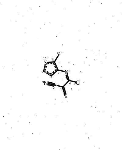 C=C(C#N)/C(Cl)=N\c1ccsc1C